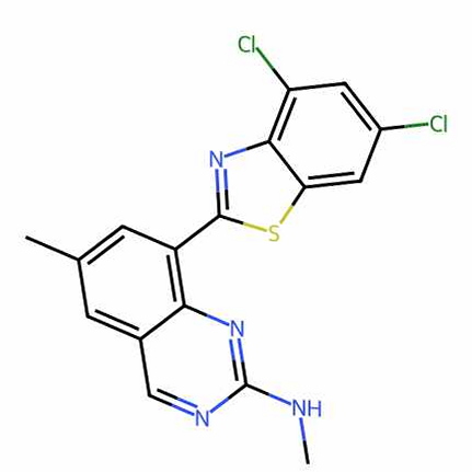 CNc1ncc2cc(C)cc(-c3nc4c(Cl)cc(Cl)cc4s3)c2n1